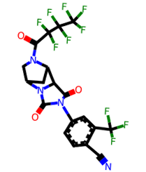 N#Cc1ccc(N2C(=O)C3C4CC(CN4C(=O)C(F)(F)C(F)(F)C(F)(F)F)N3C2=O)cc1C(F)(F)F